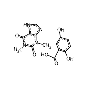 Cn1c(=O)c2[nH]cnc2n(C)c1=O.O=C(O)c1cc(O)ccc1O